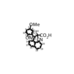 CCC(C#N)(C(=O)O)C(c1cc(OC)ccc1OC)c1cccc2ccccc12